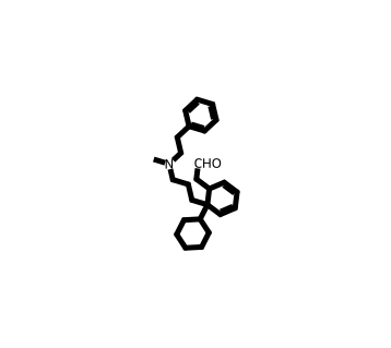 CN(CCCC1(C2CCCCC2)C=CC=CC1CC=O)CCc1ccccc1